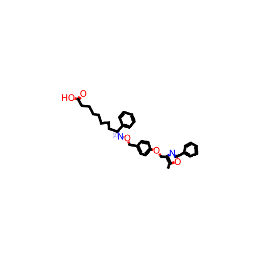 Cc1oc(-c2ccccc2)nc1COc1ccc(CO/N=C(/CCCCCCCC(=O)O)c2ccccc2)cc1